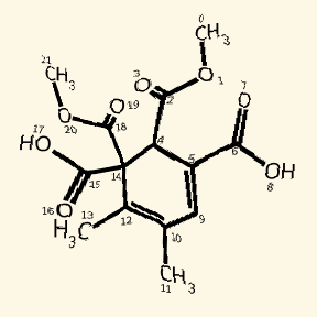 COC(=O)C1C(C(=O)O)=CC(C)=C(C)C1(C(=O)O)C(=O)OC